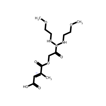 COCCNN(NCCOC)C(=O)COC(=O)/C(C)=C/C(=O)O